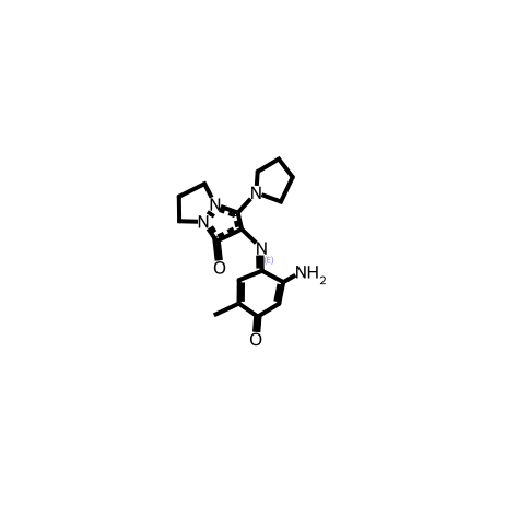 CC1=C/C(=N\c2c(N3CCCC3)n3n(c2=O)CCC3)C(N)=CC1=O